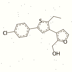 CCc1sc(-c2ccc(Cl)cc2)cc1-c1ccoc1CO